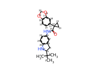 CC(C)(C)C1Cc2cc(NC(=O)C3(c4ccc5c(c4)OCO5)CC3)ccc2N1